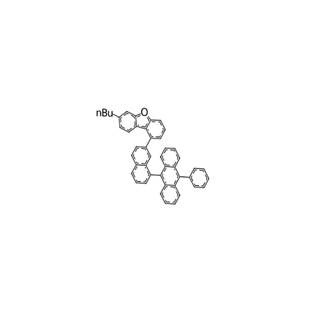 CCCCc1ccc2c(c1)oc1cccc(-c3ccc4cccc(-c5c6ccccc6c(-c6ccccc6)c6ccccc56)c4c3)c12